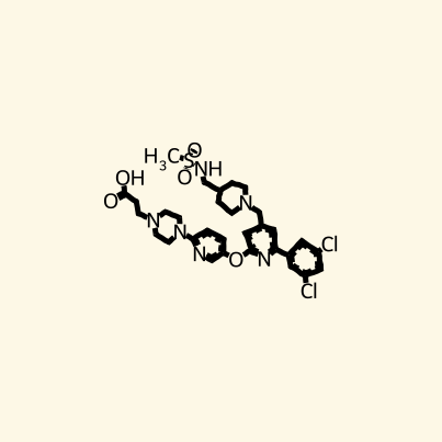 CS(=O)(=O)NCC1CCN(Cc2cc(Oc3ccc(N4CCN(CCC(=O)O)CC4)nc3)nc(-c3cc(Cl)cc(Cl)c3)c2)CC1